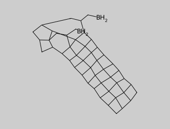 BCC1CC2CC3CC4C5C6C7C8C9C%10C%11C%12CC%13C%14CC%15C%16C%17C%18C%19C%20C%21C1C1%22C2C34CC(CB)C51C61C%21%22C%202C71C81C93C%104C%115C%13%12C%14%15C%165C%174C%183C%1921